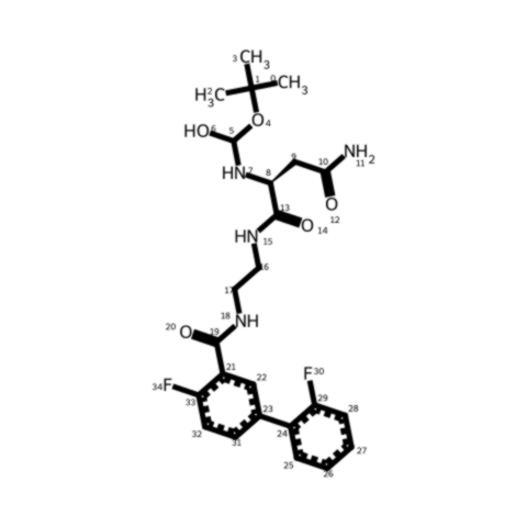 CC(C)(C)OC(O)N[C@@H](CC(N)=O)C(=O)NCCNC(=O)c1cc(-c2ccccc2F)ccc1F